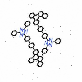 c1ccc(-c2nc(-c3ccccc3)nc(-c3ccc(-c4ccc(-c5ccc6c(c5)c5ccccc5c5c7ccccc7cc(-c7ccc(-c8nc(-c9ccccc9)nc(-c9ccc(-c%10ccc(-c%11ccc%12c%13ccccc%13c%13ccc%14ccccc%14c%13c%12c%11)cc%10)cc9)n8)cc7)c65)cc4)cc3)n2)cc1